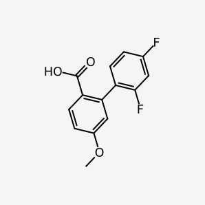 COc1ccc(C(=O)O)c(-c2ccc(F)cc2F)c1